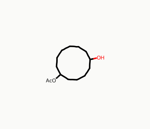 CC(=O)OC1CCCCCCC(O)CCCC1